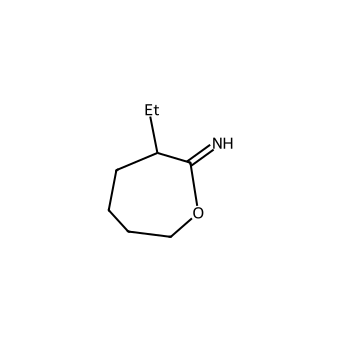 CCC1CCCCOC1=N